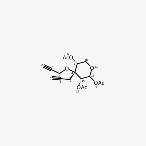 C#CCO[C@]1(CC#C)[C@H](OC(C)=O)COC(OC(C)=O)[C@@H]1OC(C)=O